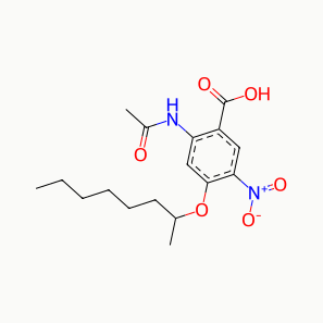 CCCCCCC(C)Oc1cc(NC(C)=O)c(C(=O)O)cc1[N+](=O)[O-]